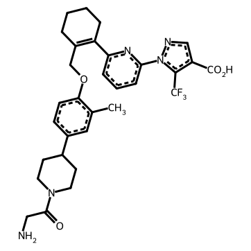 Cc1cc(C2CCN(C(=O)CN)CC2)ccc1OCC1=C(c2cccc(-n3ncc(C(=O)O)c3C(F)(F)F)n2)CCCC1